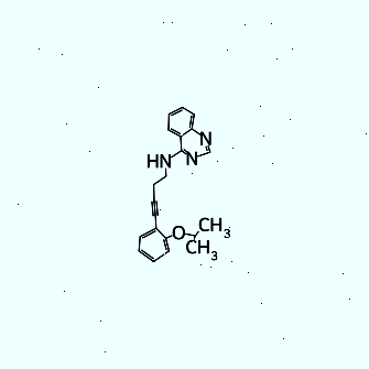 CC(C)Oc1ccccc1C#CCCNc1ncnc2ccccc12